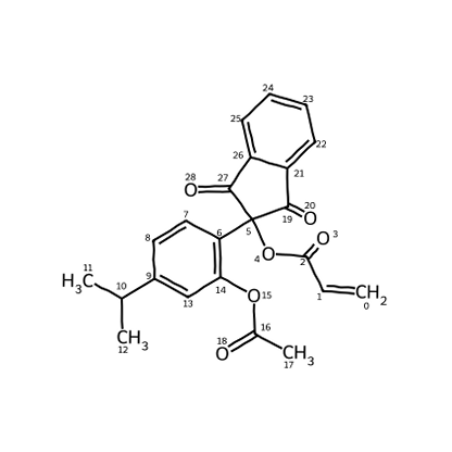 C=CC(=O)OC1(c2ccc(C(C)C)cc2OC(C)=O)C(=O)c2ccccc2C1=O